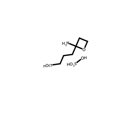 CCCCCCCCCCCC1(N)CCO1.O=S(=O)(O)O